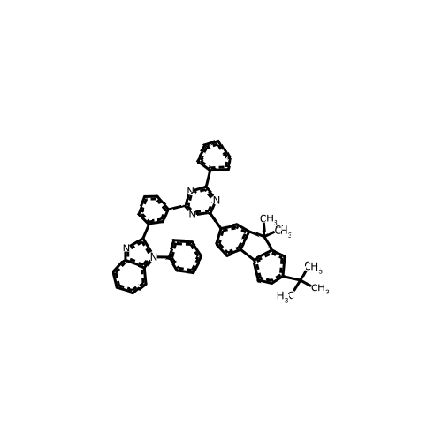 CC(C)(C)c1ccc2c(c1)C(C)(C)c1cc(-c3nc(-c4ccccc4)nc(-c4cccc(-c5nc6ccccc6n5-c5ccccc5)c4)n3)ccc1-2